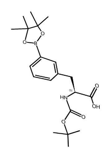 CC(C)(C)OC(=O)N[C@@H](Cc1cccc(B2OC(C)(C)C(C)(C)O2)c1)C(=O)O